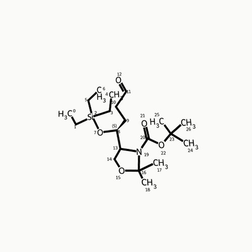 CC[Si](CC)(CC)O[C@@H](CCC=O)C1COC(C)(C)N1C(=O)OC(C)(C)C